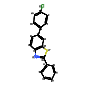 Clc1ccc(-c2ccc3nc(-c4ccccc4)sc3c2)cc1